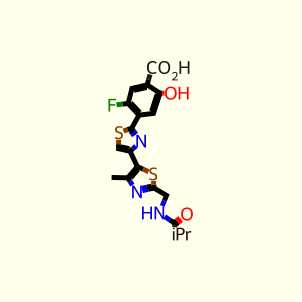 Cc1nc(CNC(=O)C(C)C)sc1-c1csc(-c2cc(O)c(C(=O)O)cc2F)n1